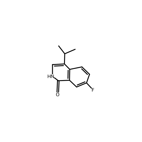 CC(C)c1c[nH]c(=O)c2cc(F)ccc12